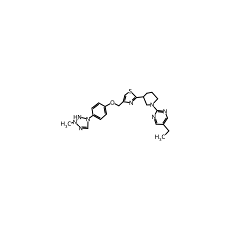 CCc1cnc(N2CCCC(c3nc(COc4ccc(N5C=NN(C)N5)cc4)cs3)C2)nc1